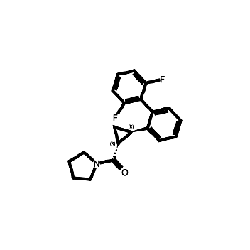 O=C([C@@H]1C[C@H]1c1ccccc1-c1c(F)cccc1F)N1CCCC1